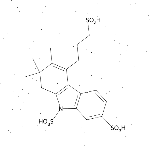 CC1=C(CCCS(=O)(=O)O)c2c(n(S(=O)(=O)O)c3cc(S(=O)(=O)O)ccc23)CC1(C)C